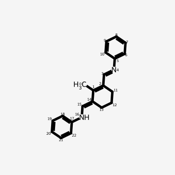 CC1=C(/C=N/c2ccccc2)CCC/C1=C\Nc1ccccc1